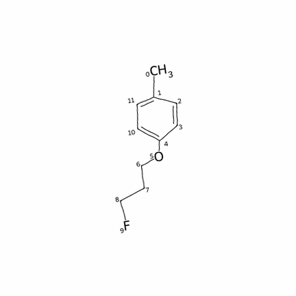 Cc1ccc(OCCCF)cc1